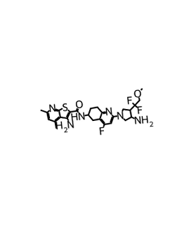 COCC(F)(F)C1CN(c2cc(F)c3c(n2)CCC(NC(=O)c2sc4nc(C)cc(C)c4c2N)C3)CC1N